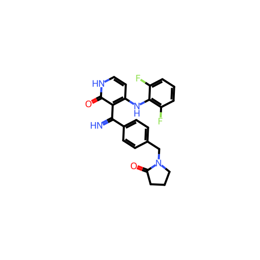 N=C(c1ccc(CN2CCCC2=O)cc1)c1c(Nc2c(F)cccc2F)cc[nH]c1=O